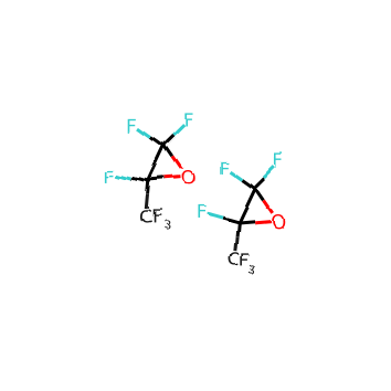 FC(F)(F)C1(F)OC1(F)F.FC(F)(F)C1(F)OC1(F)F